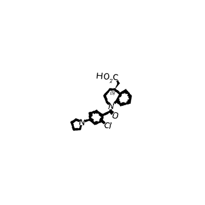 O=C(O)C[C@@H]1CCCN(C(=O)c2ccc(N3CCCC3)cc2Cl)c2ccccc21